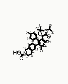 Cc1ccc(-c2c(-c3ccc4c(c3)CCN(C(=O)O)C4)c(C)nc(C)c2C(OC(C)(C)C)C(=O)OC(C)C)cc1